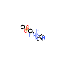 N#C/N=C(/NCc1ccc(S(=O)(=O)c2ccccc2)cc1)Nc1ccncc1